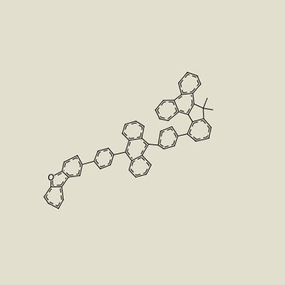 CC1(C)c2cccc(-c3ccc(-c4c5ccccc5c(-c5ccc(-c6ccc7oc8ccccc8c7c6)cc5)c5ccccc45)cc3)c2-c2c1c1ccccc1c1ccccc21